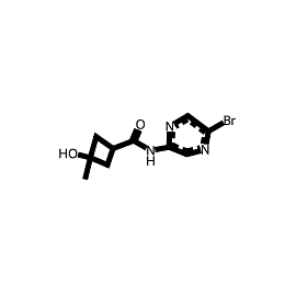 CC1(O)CC(C(=O)Nc2cnc(Br)cn2)C1